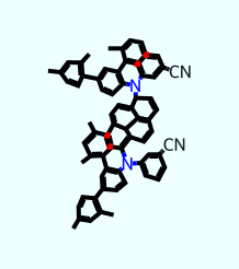 Cc1ccc(-c2ccc(N(C3=C4C=CC5=C6C(=CC=C(C=C3)C46)C(N(c3cccc(C#N)c3)c3ccc(-c4ccc(C)cc4C)cc3-c3ccccc3C)C=C5)c3cccc(C#N)c3)c(-c3ccc(C)cc3C)c2)c(C)c1